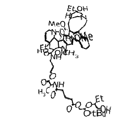 CCC(CO)OC(COC(=O)CCCC(=O)NC(C)C(=O)OCCCNC(=O)[C@]1(O)C2N(C)c3cc(OC)c([C@@]4(C(=O)OC)C[C@@H]5C[N@](CCc6c4[nH]c4ccccc64)CC(O)(CC)C5)cc3[C@@]23CCN2CC=C[C@](CC)(C23)[C@H]1O)OC(C)(C)C